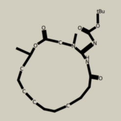 CC1CCCCCCCCCC(=O)N/C(=N/C(=O)OC(C)(C)C)N(C)CC(=O)O1